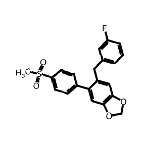 CS(=O)(=O)c1ccc(-c2cc3c(cc2Cc2cccc(F)c2)OCO3)cc1